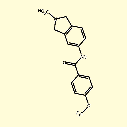 O=C(Nc1ccc2c(c1)CN(C(=O)O)C2)c1ccc(OC(F)(F)F)cc1